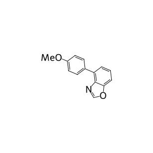 COc1ccc(-c2cccc3ocnc23)cc1